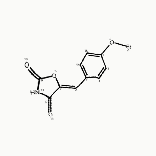 CCOc1ccc(/C=C2\OC(=O)NC2=O)cc1